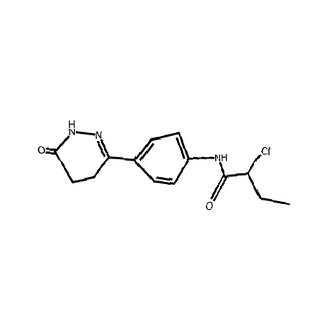 CCC(Cl)C(=O)Nc1ccc(C2=NNC(=O)CC2)cc1